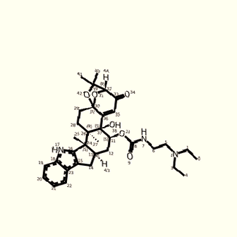 CCN(CC)CCNC(=O)O[C@H]1C[C@H]2Cc3c([nH]c4ccccc34)[C@]2(C)[C@@]2(C)CC[C@@]34O[C@@H](C(=O)C=C3[C@]12O)C(C)(C)O4